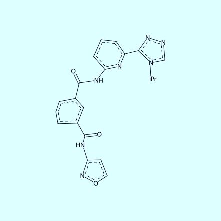 CC(C)n1cnnc1-c1cccc(NC(=O)c2cccc(C(=O)Nc3ccon3)c2)n1